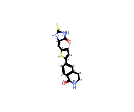 O=C1NC(=S)NC1=Cc1ccc(-c2ccc3c(c2)CCNC3=O)s1